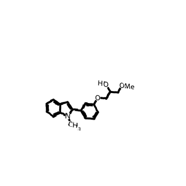 COCC(O)COc1cccc(-c2cc3ccccc3n2C)c1